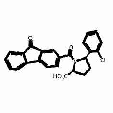 O=C1c2ccccc2-c2ccc(C(=O)N3[C@@H](c4ccccc4Cl)CC[C@H]3C(=O)O)cc21